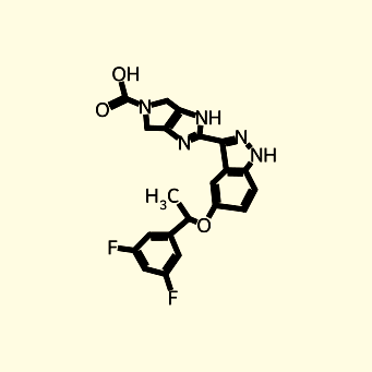 CC(Oc1ccc2[nH]nc(-c3nc4c([nH]3)CN(C(=O)O)C4)c2c1)c1cc(F)cc(F)c1